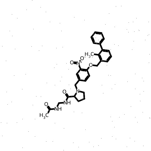 CC(=O)NCNC(=O)C1CCCN1Cc1ccc(OCc2cccc(-c3ccccc3)c2C)c([N+](=O)[O-])c1